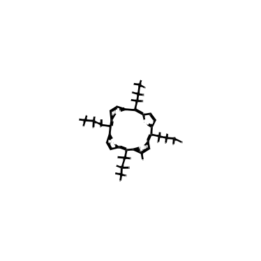 FC(F)(F)C(F)(F)C(F)(F)C1=C2C=CC(=N2)C(C(F)(F)C(F)(F)C(F)(F)F)=C2C=C(Cl)C(=N2)C(C(F)(F)C(F)(F)C(F)(F)F)=C2C=CC(=N2)C(C(F)(F)C(F)(F)C(F)(F)F)=C2C=CC1=N2